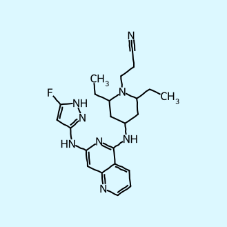 CCC1CC(Nc2nc(Nc3cc(F)[nH]n3)cc3ncccc23)CC(CC)N1CCC#N